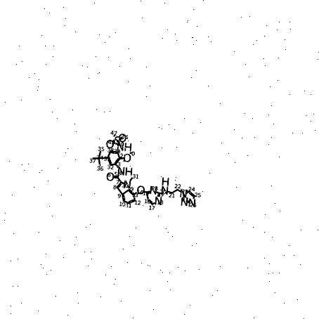 COc1c(NC(=O)c2cc3cccc(Oc4ccnc(NCCn5ccnn5)n4)c3n2C)cc(C(C)(C)C)cc1NS(C)(=O)=O